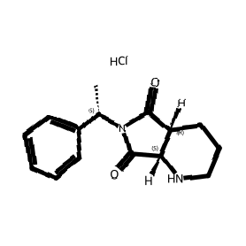 C[C@@H](c1ccccc1)N1C(=O)[C@H]2NCCC[C@H]2C1=O.Cl